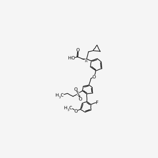 CCCS(=O)(=O)c1cc(COc2cccc([C@@H](CC(=O)O)CC3CC3)c2)ccc1-c1cc(OC)ccc1F